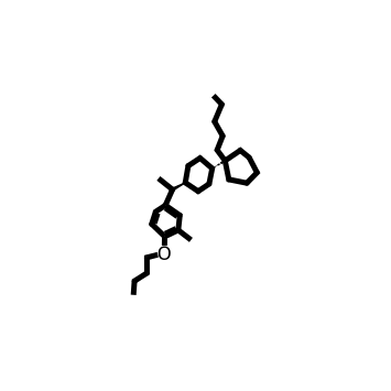 CCCCCC1([C@H]2CC[C@H](C(C)c3ccc(OCCCC)c(C)c3)CC2)CCCCC1